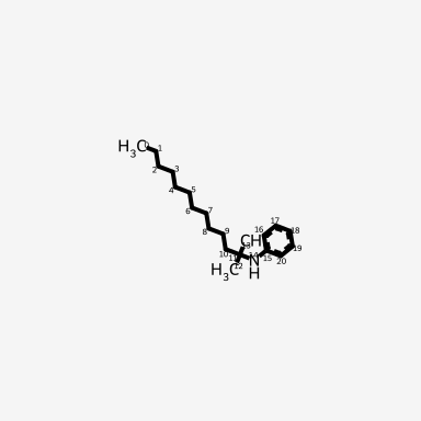 CCCCCCCCCCCC(C)(C)Nc1ccccc1